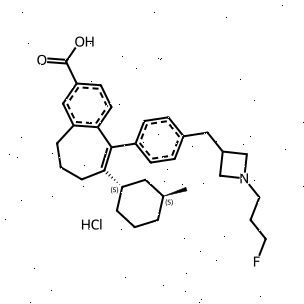 C[C@H]1CCC[C@H](C2=C(c3ccc(CC4CN(CCCF)C4)cc3)c3ccc(C(=O)O)cc3CCC2)C1.Cl